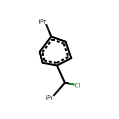 CC(C)c1ccc(C(Cl)C(C)C)cc1